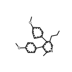 CCCc1[c]nc(C)c(-c2ccc(OC)cc2)c1-c1ccc(OC)cc1